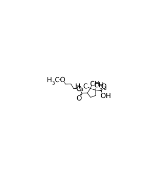 COCCCOC(=O)C1CCC(C)(C(=O)O)C1(C)C